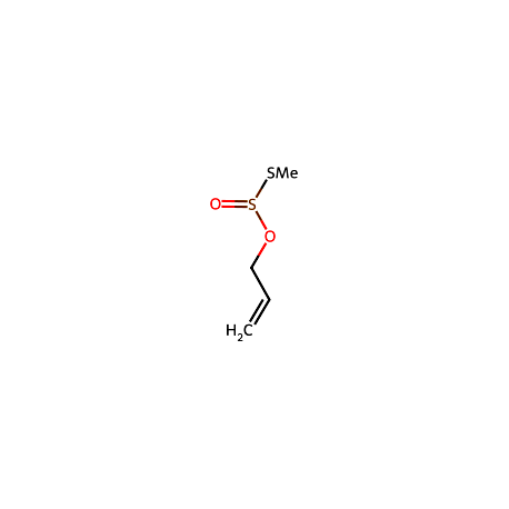 C=CCOS(=O)SC